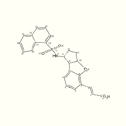 O=C(O)/C=C/c1cccc2c1OC1CCC(NS(=O)(=O)c3cccc4ccccc34)C21